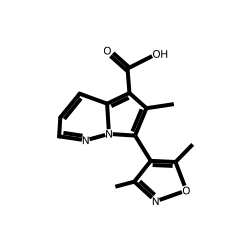 Cc1noc(C)c1-c1c(C)c(C(=O)O)c2cccnn12